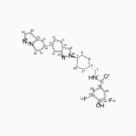 O=C(NC[C@H]1CC[C@H](n2cc3ccc(-c4ccn5nccc5c4)cc3n2)CC1)c1cc(F)c(O)c(F)c1